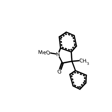 CON1C(=O)C(C)(c2ccccc2)c2ccccc21